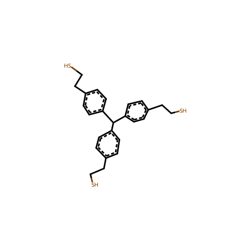 SCCc1ccc(C(c2ccc(CCS)cc2)c2ccc(CCS)cc2)cc1